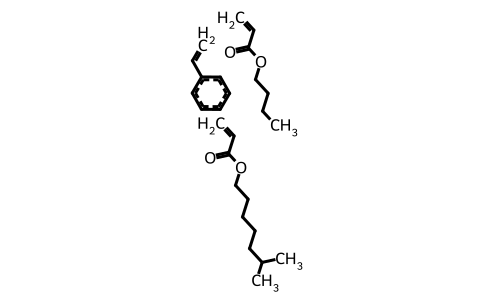 C=CC(=O)OCCCC.C=CC(=O)OCCCCCC(C)C.C=Cc1ccccc1